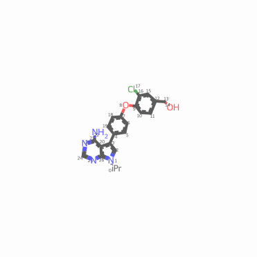 CC(C)n1cc(-c2ccc(Oc3ccc(CO)cc3Cl)cc2)c2c(N)ncnc21